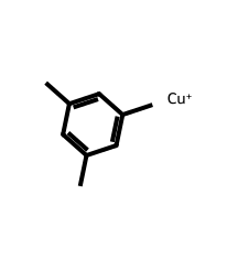 Cc1cc(C)cc(C)c1.[Cu+]